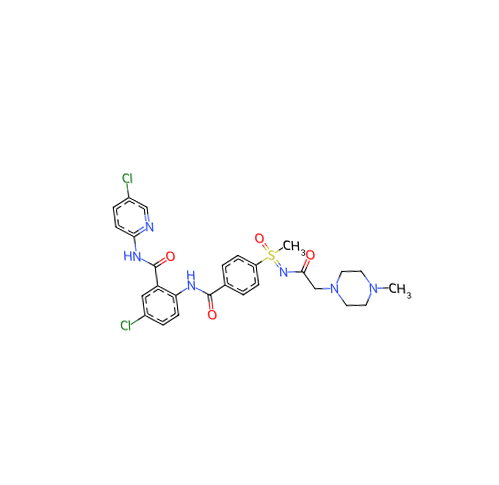 CN1CCN(CC(=O)N=S(C)(=O)c2ccc(C(=O)Nc3ccc(Cl)cc3C(=O)Nc3ccc(Cl)cn3)cc2)CC1